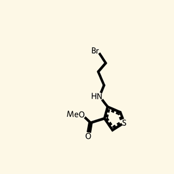 COC(=O)c1cscc1NCCCBr